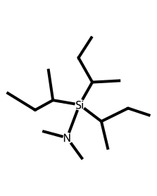 CCC(C)[Si](C(C)CC)(C(C)CC)N(C)C